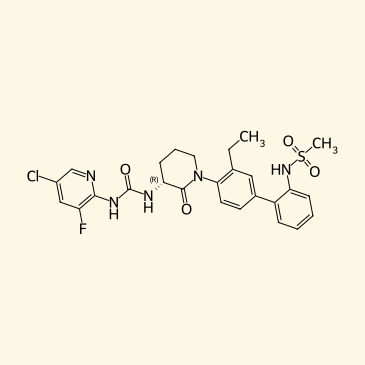 CCc1cc(-c2ccccc2NS(C)(=O)=O)ccc1N1CCC[C@@H](NC(=O)Nc2ncc(Cl)cc2F)C1=O